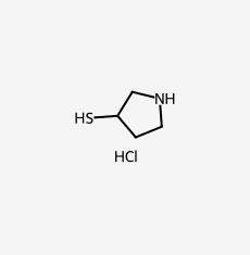 Cl.SC1CCNC1